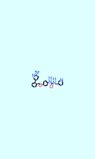 CN(C)c1ccc(-c2ccccc2COc2ccc(NC(=O)NCc3cccnc3)cc2)cn1